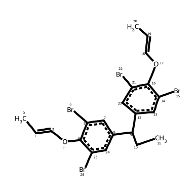 CC=COc1c(Br)cc(C(CC)c2cc(Br)c(OC=CC)c(Br)c2)cc1Br